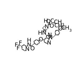 COc1ccc(Cn2nc(N[C@@H]3CCN(C(=O)OC(C)(C)C)C3)c3c(Oc4ccc(C(=O)Nc5cc(C(F)(F)F)ccn5)cc4)ccnc32)cc1